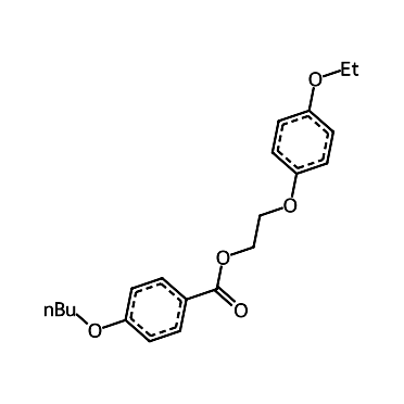 CCCCOc1ccc(C(=O)OCCOc2ccc(OCC)cc2)cc1